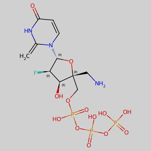 C=C1NC(=O)C=CN1[C@@H]1O[C@](CN)(COP(=O)(O)OP(=O)(O)OP(=O)(O)O)[C@@H](O)[C@H]1F